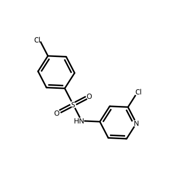 O=S(=O)(Nc1ccnc(Cl)c1)c1ccc(Cl)cc1